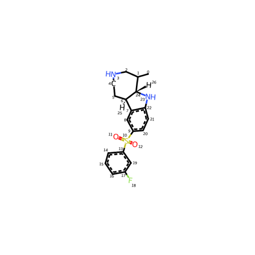 CC1CNCC[C@@H]2c3cc(S(=O)(=O)c4cccc(F)c4)ccc3N[C@@H]12